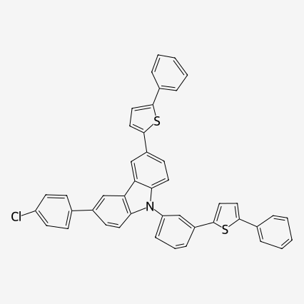 Clc1ccc(-c2ccc3c(c2)c2cc(-c4ccc(-c5ccccc5)s4)ccc2n3-c2cccc(-c3ccc(-c4ccccc4)s3)c2)cc1